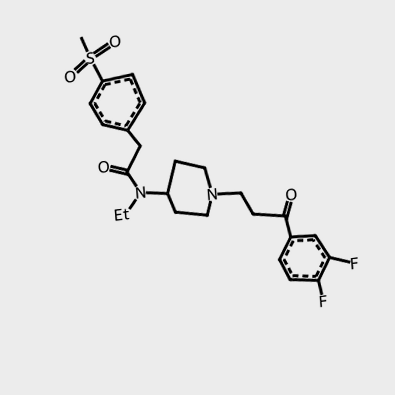 CCN(C(=O)Cc1ccc(S(C)(=O)=O)cc1)C1CCN(CCC(=O)c2ccc(F)c(F)c2)CC1